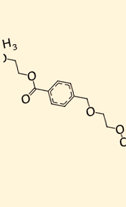 COCCOCc1ccc(C(=O)OCCOC)cc1